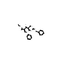 CCOC(=O)c1cn(-c2ccccc2)c2nc(NCc3ccccc3)ncc2c1=O